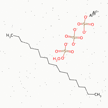 CCCCCCCCCCCCCCCCCC.O.O=S(=O)([O-])[O-].O=S(=O)([O-])[O-].O=S(=O)([O-])[O-].[Al+3].[Al+3]